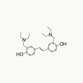 CCN(CC)Cc1cc(/C=C/c2ccc(O)c(CN(CC)CC)c2)ccc1O